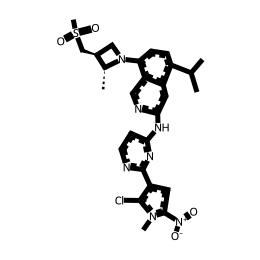 CC(C)c1ccc(N2C[C@H](CS(C)(=O)=O)[C@H]2C)c2cnc(Nc3ccnc(-c4cc([N+](=O)[O-])n(C)c4Cl)n3)cc12